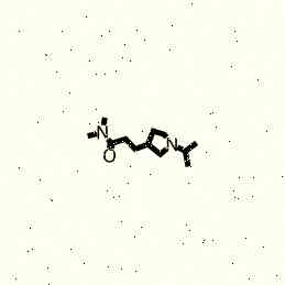 CC(C)N1CCC(CCC(=O)N(C)C)C1